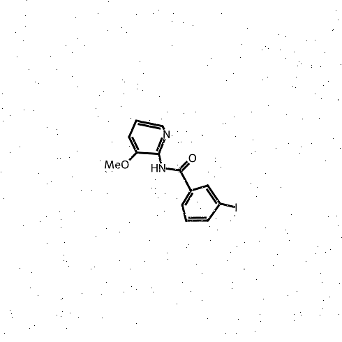 COc1cccnc1NC(=O)c1cccc(I)c1